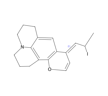 CC(I)/C=C1\C=COc2c1cc1c3c2CCCN3CCC1